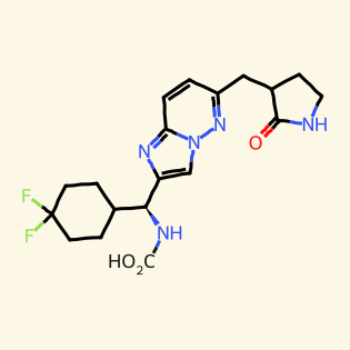 O=C(O)N[C@H](c1cn2nc(CC3CCNC3=O)ccc2n1)C1CCC(F)(F)CC1